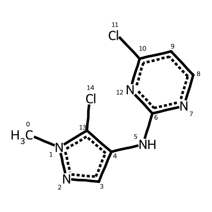 Cn1ncc(Nc2nccc(Cl)n2)c1Cl